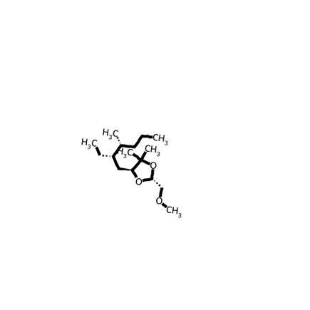 CCC[C@@H](C)[C@@H](CC)C[C@@H]1O[C@@H](COC)OC1(C)C